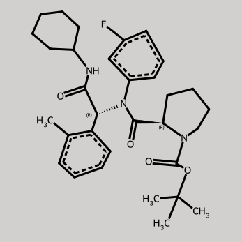 Cc1ccccc1[C@H](C(=O)NC1CCCCC1)N(C(=O)[C@H]1CCCCN1C(=O)OC(C)(C)C)c1cccc(F)c1